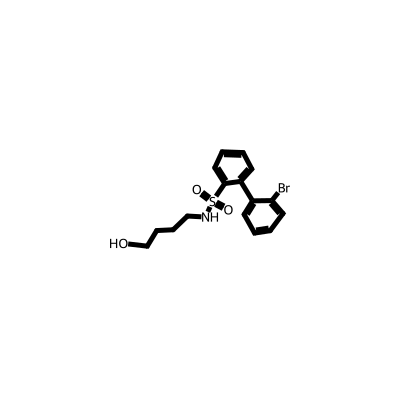 O=S(=O)(NCCCCO)c1ccccc1-c1ccccc1Br